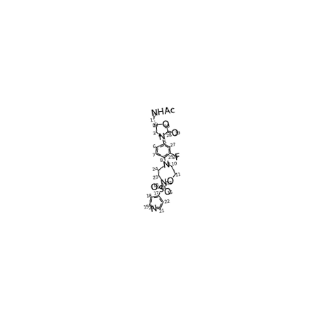 CC(=O)NC[C@H]1CN(c2ccc(N3CCON(S(=O)(=O)c4ccncc4)CC3)c(F)c2)C(=O)O1